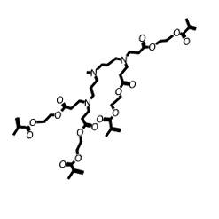 C=C(C)C(=O)OCCOC(=O)CCN(CCCN(C)CCCN(CCC(=O)OCCOC(=O)C(=C)C)CCC(=O)OCCOC(=O)C(=C)C)CCC(=O)OCCOC(=O)C(=C)C